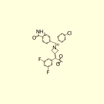 CS(=O)(=O)C(=C1CN([C@@H](c2ccc(Cl)cc2)c2ccc(C(N)=O)cc2)C1)c1cc(F)cc(F)c1